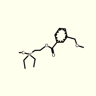 CC[N+](CC)(CC)CCOC(=O)c1cccc(COC)c1